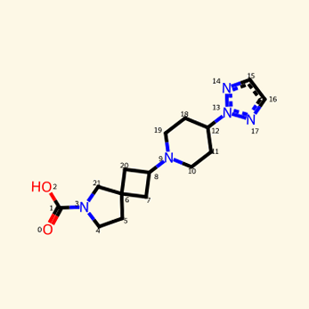 O=C(O)N1CCC2(CC(N3CCC(n4nccn4)CC3)C2)C1